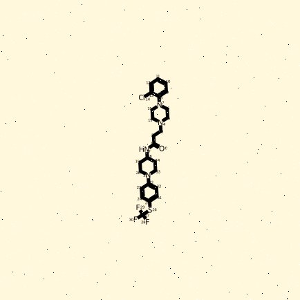 O=C(CCN1CCN(c2ccccc2Cl)CC1)NC1CCN(c2ccc(SC(F)(F)F)cc2)CC1